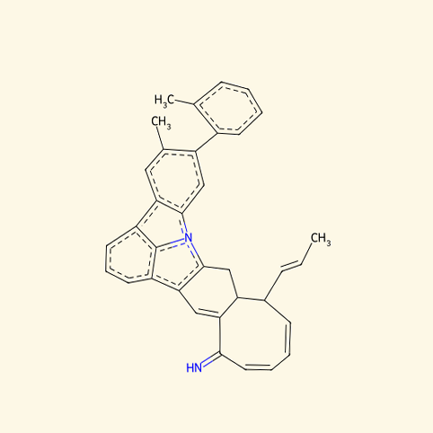 CC=CC1/C=C\C=C/C(=N)C2=Cc3c(n4c5cc(-c6ccccc6C)c(C)cc5c5cccc3c54)CC21